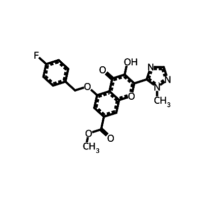 COC(=O)c1cc(OCc2ccc(F)cc2)c2c(=O)c(O)c(-c3ncnn3C)oc2c1